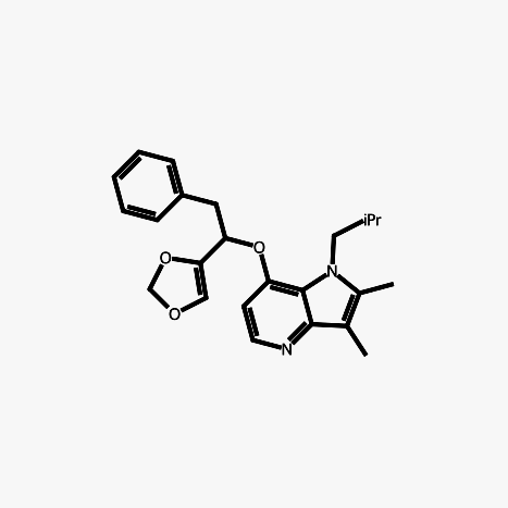 Cc1c(C)n(CC(C)C)c2c(OC(Cc3ccccc3)C3=COCO3)ccnc12